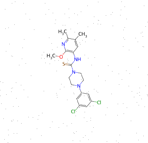 COc1nc(C)c(C)cc1NC(=S)N1CCN(c2cc(Cl)cc(Cl)c2)CC1